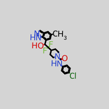 Cc1cc(C(O)C(F)(F)C2CCN(C(=O)Nc3ccc(Cl)cc3)CC2)c2[nH]ncc2c1